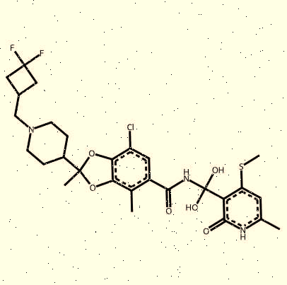 CSc1cc(C)[nH]c(=O)c1C(O)(O)NC(=O)c1cc(Cl)c2c(c1C)OC(C)(C1CCN(CC3CC(F)(F)C3)CC1)O2